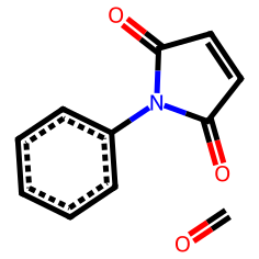 C=O.O=C1C=CC(=O)N1c1ccccc1